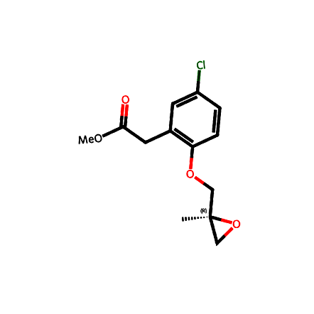 COC(=O)Cc1cc(Cl)ccc1OC[C@]1(C)CO1